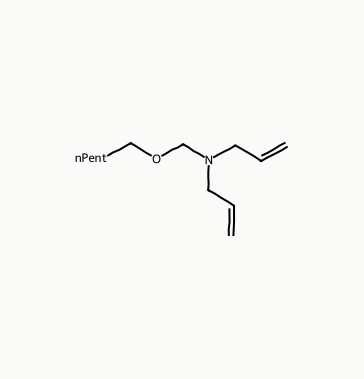 C=CCN(CC=C)COCCCCCC